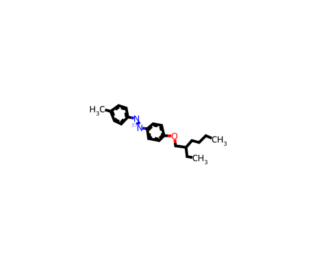 CCCCC(CC)COc1ccc(/N=N/c2ccc(C)cc2)cc1